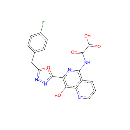 O=C(O)C(=O)Nc1nc(-c2nnc(Cc3ccc(F)cc3)o2)c(O)c2ncccc12